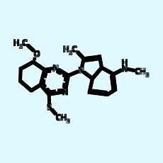 CNC1=CC=CC2C1C=C(C)N2c1nc(SC)c2c(n1)[C@@H](OC)CCC2